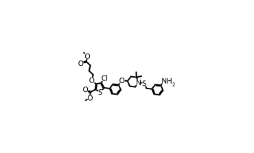 COC(=O)CCCOc1c(C(=O)OC)sc(-c2cccc(OC3CCN(SCc4cccc(N)c4)C(C)(C)C3)c2)c1Cl